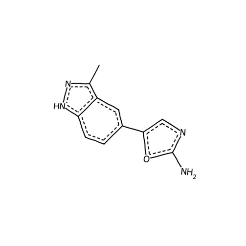 Cc1n[nH]c2ccc(-c3cnc(N)o3)cc12